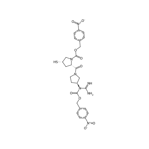 N=C(N)N(C(=O)OCc1ccc([N+](=O)[O-])cc1)[C@H]1CCN(C(=O)[C@@H]2C[C@H](S)CN2C(=O)OCc2ccc([N+](=O)[O-])cc2)C1